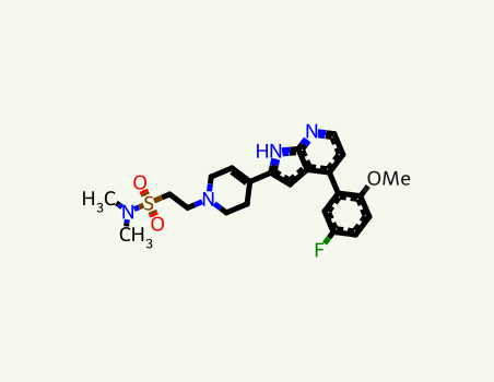 COc1ccc(F)cc1-c1ccnc2[nH]c(C3=CCN(CCS(=O)(=O)N(C)C)CC3)cc12